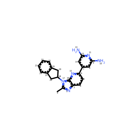 Cc1nc2ccc(-c3cc(N)nc(N)c3)nc2n1C1Cc2ccccc2C1